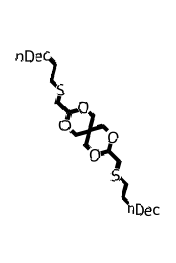 CCCCCCCCCCCCSCC1OCC2(CO1)COC(CSCCCCCCCCCCCC)OC2